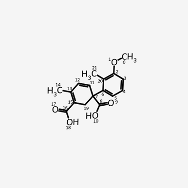 COc1cccc(C2(C(=O)O)C=CC(C)=C(C(=O)O)C2)c1C